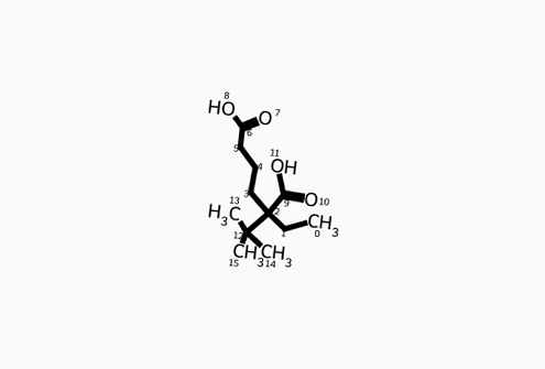 CCC(CCCC(=O)O)(C(=O)O)C(C)(C)C